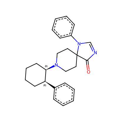 O=C1N=CN(c2ccccc2)C12CCN([C@@H]1CCCC[C@@H]1c1ccccc1)CC2